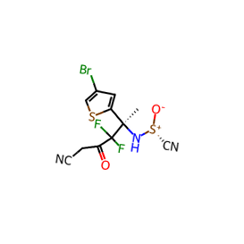 C[C@@](N[S@+]([O-])C#N)(c1cc(Br)cs1)C(F)(F)C(=O)CC#N